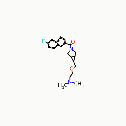 CN(C)CCOCC1C2CN(C(=O)c3ccc4cc(F)ccc4c3)CC12